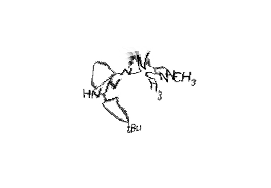 Cc1nn(C)cc1CN1CCN(c2cccc3[nH]c(-c4ccc(C(C)(C)C)cc4)nc23)CC1